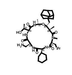 CC(C)C[C@H]1C(=O)N[C@@H](C2CCCCC2)C(=O)N[C@@H](CN)C(=O)N[C@@H]([C@H](C)O)C(=O)N[C@H](C)O[C@H](CC23CC4CC(CC(C4)C2)C3)[C@@H](C)C(=O)N1C